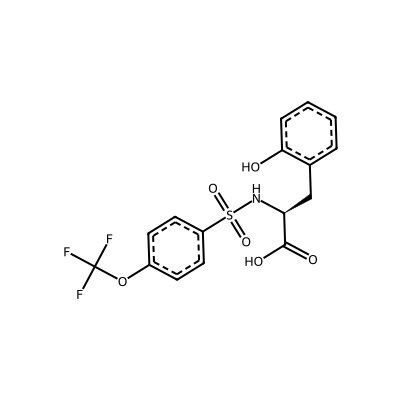 O=C(O)[C@H](Cc1ccccc1O)NS(=O)(=O)c1ccc(OC(F)(F)F)cc1